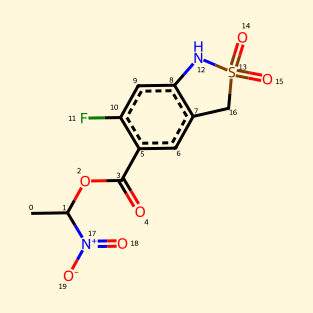 CC(OC(=O)c1cc2c(cc1F)NS(=O)(=O)C2)[N+](=O)[O-]